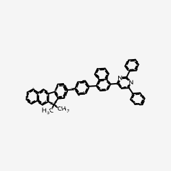 CC1(C)c2cc(-c3ccc(-c4ccc(-c5cc(-c6ccccc6)nc(-c6ccccc6)n5)c5ccccc45)cc3)ccc2-c2cc3ccccc3cc21